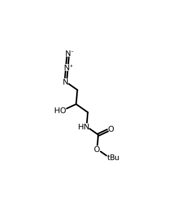 CC(C)(C)OC(=O)NCC(O)CN=[N+]=[N-]